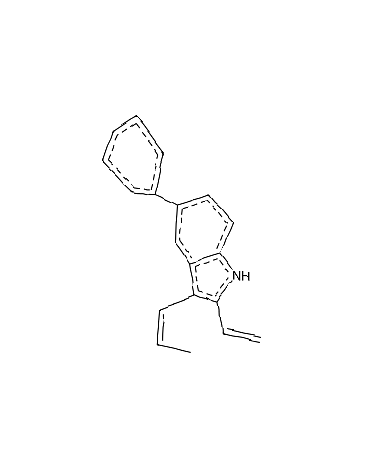 C=Cc1[nH]c2ccc(-c3ccccc3)cc2c1/C=C\C